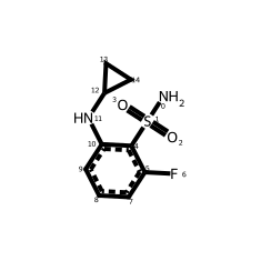 NS(=O)(=O)c1c(F)cccc1NC1CC1